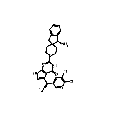 C=C(c1cnc(Cl)c(Cl)c1)c1n[nH]c2nc(N3CCC4(CC3)Cc3ccccc3[C@H]4N)[nH]c(=O)c12